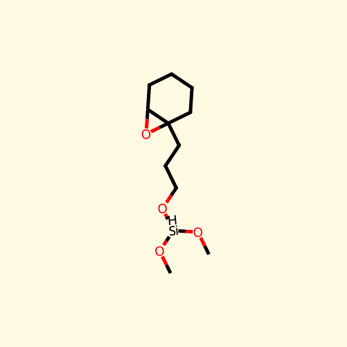 CO[SiH](OC)OCCCC12CCCCC1O2